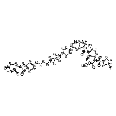 CC(C)(C)OC(=O)N(c1ccc(F)c(C(=O)c2c[nH]c3ncc(-c4ccc(N5CC6(CN(CCCOc7ccc8c(c7)CN(C7CCC(=O)NC7=O)C8=O)C6)C5)cc4)cc23)c1F)S(=O)(=O)N1CCC(F)C1